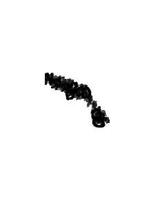 C=C1CC(CCCCCCOc2ccc(C(=O)Oc3ccc(-c4ccc(C#N)cc4)cc3)cc2)OC1=O